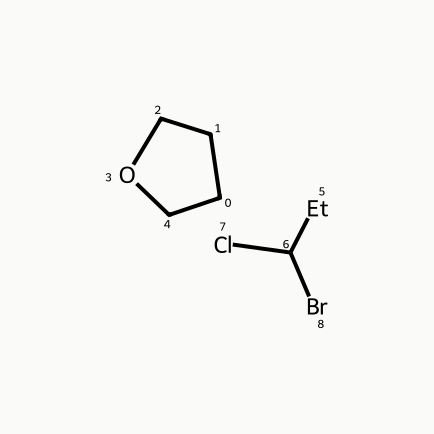 C1CCOC1.CCC(Cl)Br